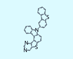 c1ccc2c(c1)sc1ccc(-n3c4ccccc4c4c5c(ccc43)sc3cncnc35)cc12